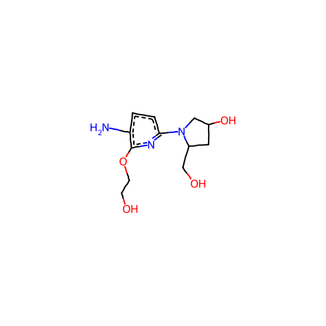 Nc1ccc(N2CC(O)CC2CO)nc1OCCO